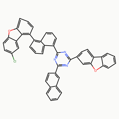 Clc1ccc2oc3cccc(-c4cccc5c(-c6nc(-c7ccc8ccccc8c7)nc(-c7ccc8c(c7)oc7ccccc78)n6)cccc45)c3c2c1